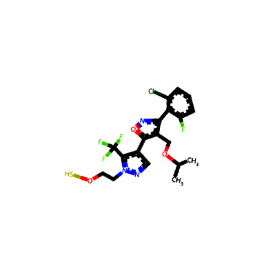 CC(C)OCc1c(-c2c(F)cccc2Cl)noc1-c1cnn(CCOS)c1C(F)(F)F